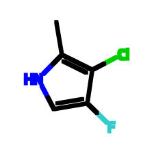 Cc1[nH]cc(F)c1Cl